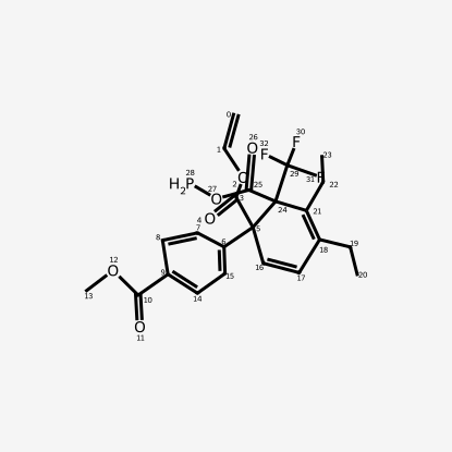 C=COC(=O)C1(c2ccc(C(=O)OC)cc2)C=CC(CC)=C(CC)C1(C(=O)OP)C(F)(F)F